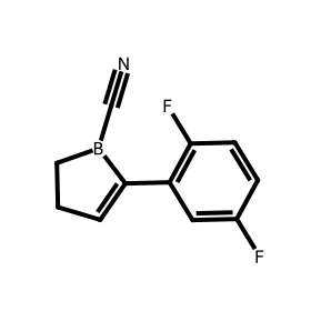 N#CB1CCC=C1c1cc(F)ccc1F